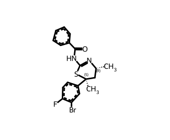 C[C@@H]1C[C@@](C)(c2ccc(F)c(Br)c2)SC(NC(=O)c2ccccc2)=N1